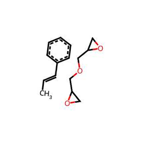 C(OCC1CO1)C1CO1.CC=Cc1ccccc1